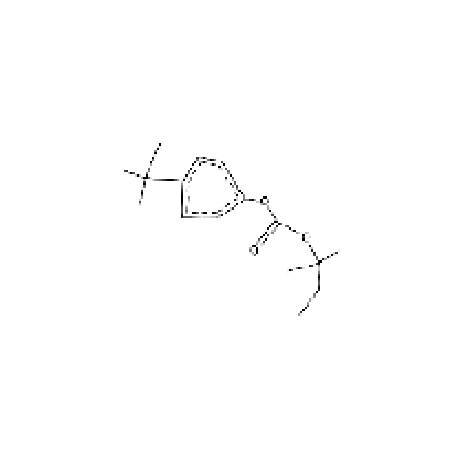 CCC(C)(C)OC(=O)Oc1ccc(C(C)(C)C)cc1